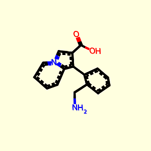 NCc1ccccc1-c1c(C(=O)O)cn2ccccc12